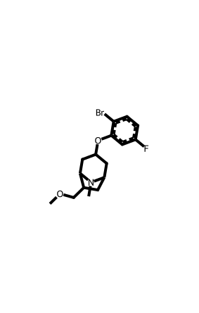 COCC1CC2CC(Oc3cc(F)ccc3Br)CC1N2C